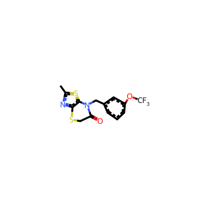 Cc1nc2c(s1)N(Cc1cccc(OC(F)(F)F)c1)C(=O)CS2